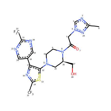 Cc1ncn(CC(=O)N2CCN(c3sc(C(F)(F)F)nc3-c3cnc(C(F)(F)F)nc3)C[C@@H]2CO)n1